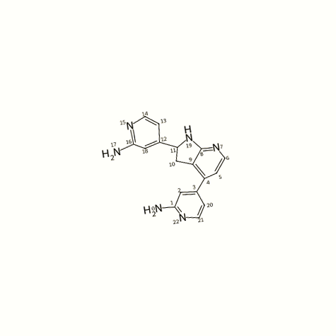 Nc1cc(-c2ccnc3c2CC(c2ccnc(N)c2)N3)ccn1